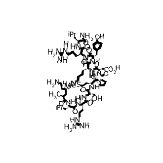 CSCC[C@H](NC(=O)[C@H](CO)NC(=O)[C@H](CCCNC(=N)N)NC(=O)[C@H](CC(C)C)NC(=O)[C@@H](C)CCCCN)C(=O)N1CCC[C@H]1C(=O)N[C@@H](CC(=O)O)C(=O)N[C@@H](CCCCN)C(=O)N[C@@H](Cc1ccc(O)cc1)C(=O)N[C@@H](CCCNC(=N)N)C(=O)N[C@@H](CC(C)C)C(N)=O